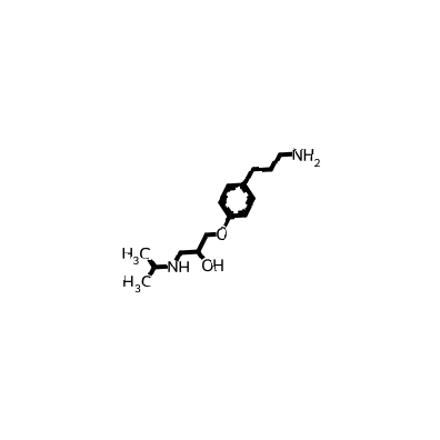 CC(C)NCC(O)COc1ccc(CCCN)cc1